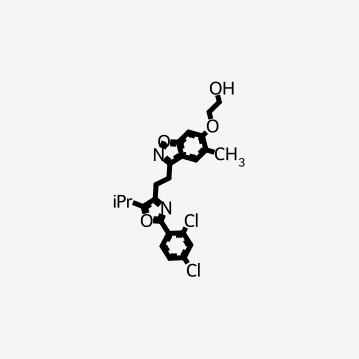 Cc1cc2c(CCc3nc(-c4ccc(Cl)cc4Cl)oc3C(C)C)noc2cc1OCCO